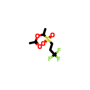 CC(=O)OC(C)S(=O)(=O)CCC(F)(F)F